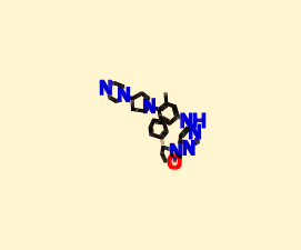 Cc1cc(Nc2cc(N3OCC[C@@H]3c3ccccc3)ncn2)ccc1N1CCC(N2CCN(C)CC2)CC1